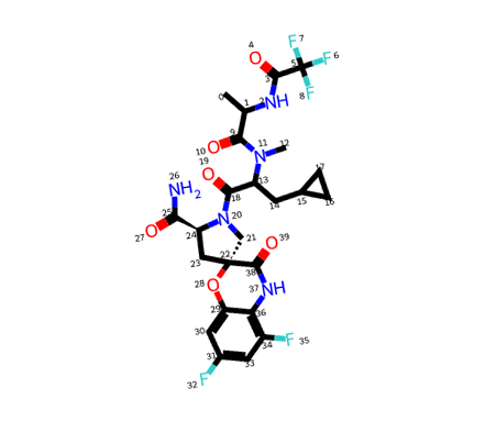 CC(NC(=O)C(F)(F)F)C(=O)N(C)C(CC1CC1)C(=O)N1C[C@@]2(C[C@H]1C(N)=O)Oc1cc(F)cc(F)c1NC2=O